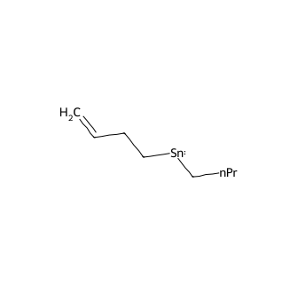 C=CC[CH2][Sn][CH2]CCC